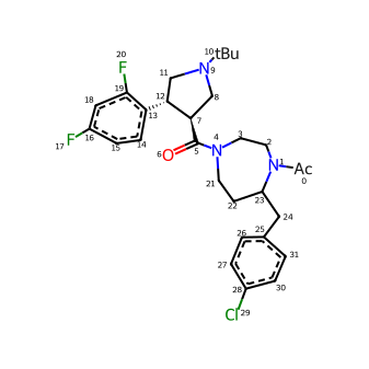 CC(=O)N1CCN(C(=O)[C@@H]2CN(C(C)(C)C)C[C@H]2c2ccc(F)cc2F)CCC1Cc1ccc(Cl)cc1